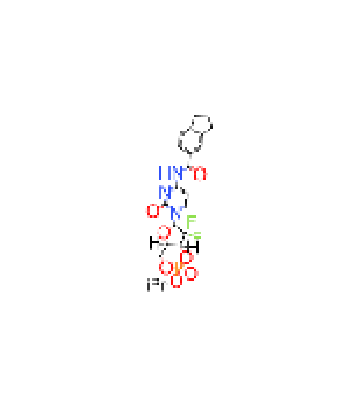 CC(C)OP1(=O)OC[C@H]2OC(n3ccc(NC(=O)c4ccc5c(c4)CCC5)nc3=O)C(F)(F)[C@@H]2O1